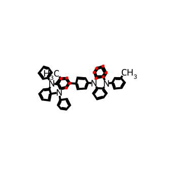 Cc1cccc(N(c2ccccc2)c2ccccc2N(c2ccccc2)c2ccc(-c3ccc(N(c4ccccc4)c4ccccc4N(c4ccccc4)c4cccc(C)c4)cc3)cc2)c1